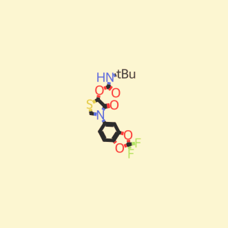 CC(C)(C)NC(=O)OC1SCN(c2ccc3c(c2)OC(F)(F)O3)C1=O